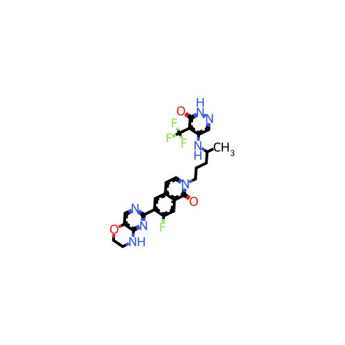 CC(CCCn1ccc2cc(-c3ncc4c(n3)NCCO4)c(F)cc2c1=O)Nc1cn[nH]c(=O)c1C(F)(F)F